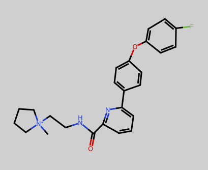 C[N+]1(CCNC(=O)c2cccc(-c3ccc(Oc4ccc(F)cc4)cc3)n2)CCCC1